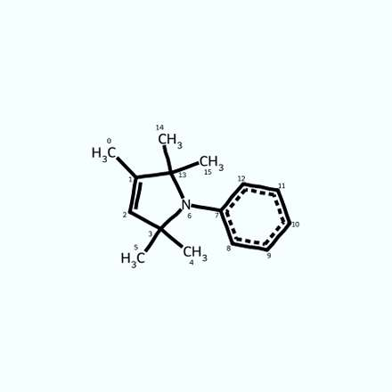 CC1=CC(C)(C)N(c2ccccc2)C1(C)C